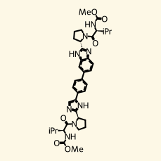 COC(=O)N[C@H](C(=O)N1CCC[C@@H]1c1ncc(-c2ccc(-c3ccc4nc([C@@H]5CCCN5C(=O)[C@@H](NC(=O)OC)C(C)C)[nH]c4c3)cc2)[nH]1)C(C)C